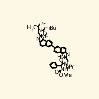 CCCN(Cc1nc2ccc3cc(-c4ccc5c(ccc6nc(CN(C(=O)C[C@@H](C)CC)C(C)C(C)C)[nH]c65)c4)ccc3c2[nH]1)C(=O)[C@H](NC(=O)OC)c1ccccc1